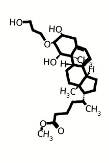 COC(=O)CCCC(C)[C@H]1CC[C@H]2C3=CC=C4C[C@@H](O)[C@@H](OCCCO)[C@H](O)[C@]4(C)[C@H]3CC[C@]12C